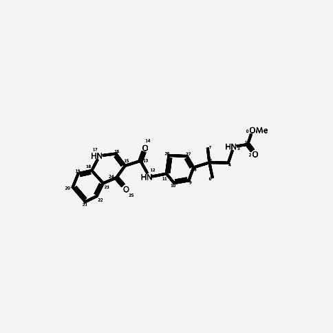 COC(=O)NCC(C)(C)c1ccc(NC(=O)c2c[nH]c3ccccc3c2=O)cc1